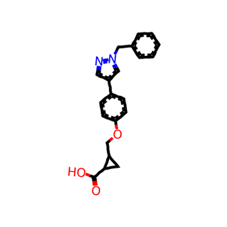 O=C(O)C1CC1COc1ccc(-c2cnn(Cc3ccccc3)c2)cc1